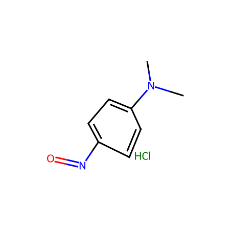 CN(C)c1ccc(N=O)cc1.Cl